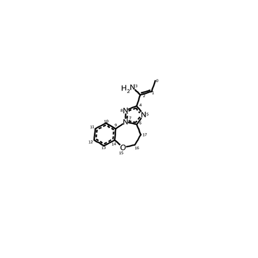 C/C=C(\N)c1nc2n(n1)-c1ccccc1OCC2